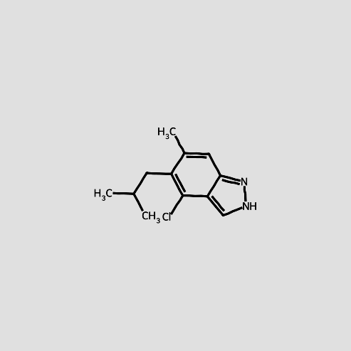 Cc1cc2n[nH]cc2c(Cl)c1CC(C)C